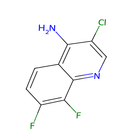 Nc1c(Cl)cnc2c(F)c(F)ccc12